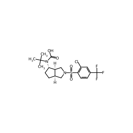 CC(C)(C)N(C(=O)O)[C@H]1CC[C@@H]2CN(S(=O)(=O)c3ccc(C(F)(F)F)cc3Cl)C[C@@H]21